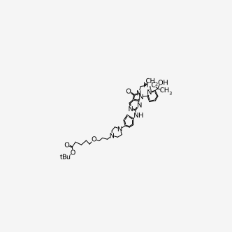 C=CCn1c(=O)c2cnc(Nc3ccc(N4CCN(CCCOCCCCC(=O)OC(C)(C)C)CC4)cc3)nc2n1-c1cccc(C(C)(C)O)n1